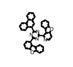 c1ccc2c(c1)cc(-c1nc(-c3cccc4oc5ccccc5c34)nc(-c3nccc4oc5ccccc5c34)n1)c1ccccc12